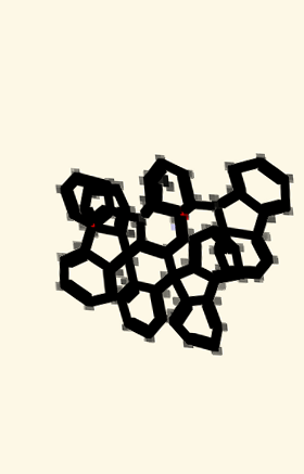 C=C/C=C\C1=C(N(c2ccccc2)c2cccc(-n3c4ccccc4c4ccccc43)c2)C2(c3ccccc3-c3ccccc32)c2ccccc2C12c1ccccc1-c1ccccc12